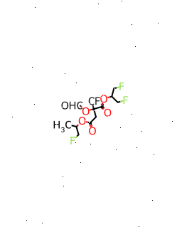 CC(CF)OC(=O)CC(O[C]=O)(C(=O)OC(CF)CF)C(F)(F)F